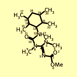 COC(=O)N=C(N(C)C)N(C)C(=O)NC1C(C)C(C)CC(C)C1C